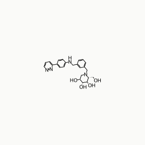 OC[C@@H]1[C@@H](O)[C@H](O)[C@@H](O)CN1Cc1cccc(CNc2ccc(-c3cccnn3)cc2)c1